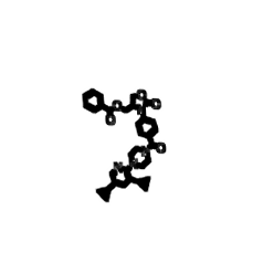 O=C(OCC1COC(=O)N1c1ccc(C(=O)N2CCN(c3ncc(C4CC4)cc3C3CC3)CC2)cc1)c1ccccc1